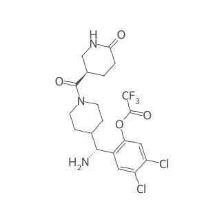 N[C@@H](c1cc(Cl)c(Cl)cc1OC(=O)C(F)(F)F)C1CCN(C(=O)[C@@H]2CCC(=O)NC2)CC1